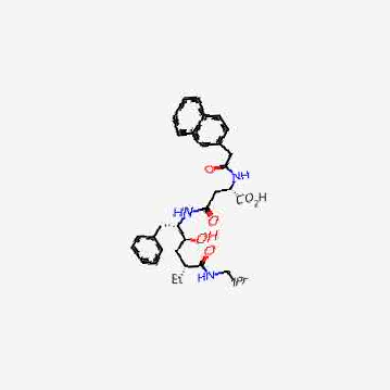 CC[C@H](C[C@H](O)[C@H](Cc1ccccc1)NC(=O)C[C@H](NC(=O)Cc1ccc2ccccc2c1)C(=O)O)C(=O)NCC(C)C